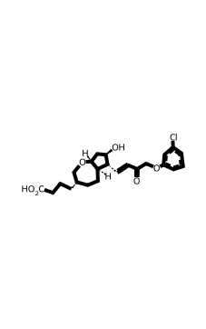 O=C(O)CCC[C@H]1CC[C@@H]2[C@@H](/C=C/C(=O)COc3cccc(Cl)c3)[C@H](O)C[C@@H]2OC1